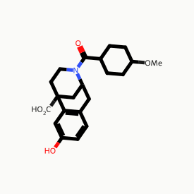 COC1CCC(C(=O)N2CCC3(C(=O)O)CC2Cc2ccc(O)cc23)CC1